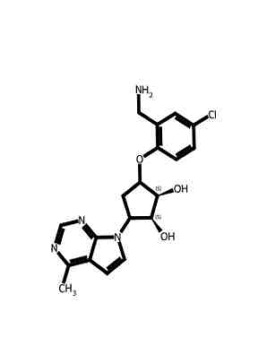 Cc1ncnc2c1ccn2C1CC(Oc2ccc(Cl)cc2CN)[C@@H](O)[C@H]1O